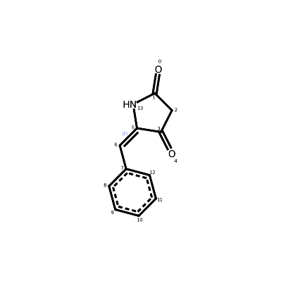 O=C1CC(=O)/C(=C\c2ccccc2)N1